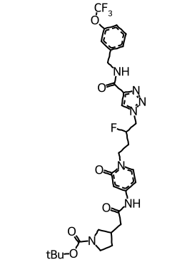 CC(C)(C)OC(=O)N1CCC(CC(=O)Nc2ccn(CCC(F)Cn3cc(C(=O)NCc4cccc(OC(F)(F)F)c4)nn3)c(=O)c2)C1